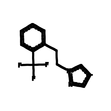 FC(F)(F)c1ccccc1CCn1c[c]cn1